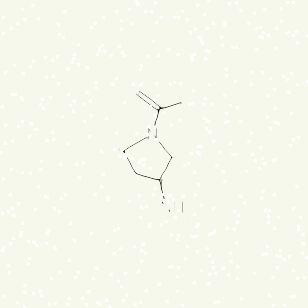 C=C(C)N1CCC(N)C1